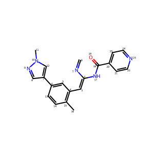 C=N/C(=C\c1cc(-c2cnn(C)c2)ccc1C)NC(=O)c1ccncc1